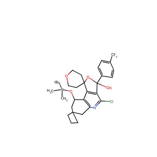 CC(C)(C)[Si](C)(C)OC1CC2(CCC2)Cc2nc(Cl)c3c(c21)C1(CCOCC1)OC3(O)c1ccc(C(F)(F)F)cc1